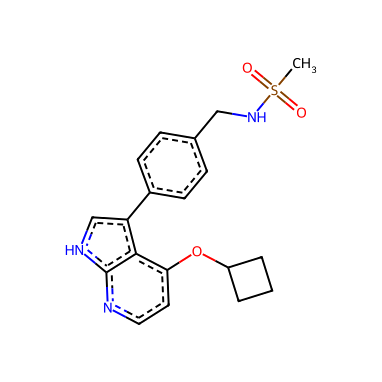 CS(=O)(=O)NCc1ccc(-c2c[nH]c3nccc(OC4CCC4)c23)cc1